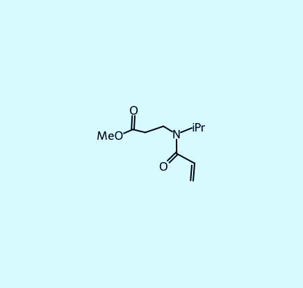 C=CC(=O)N(CCC(=O)OC)C(C)C